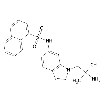 CC(C)(N)Cn1ccc2ccc(NS(=O)(=O)c3cccc4ccccc34)cc21